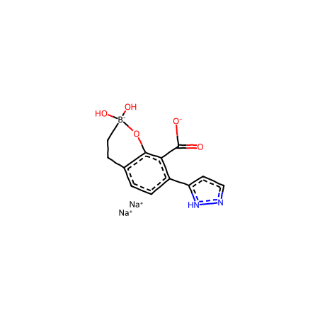 O=C([O-])c1c(-c2ccn[nH]2)ccc2c1O[B-](O)(O)CC2.[Na+].[Na+]